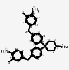 CCCCC1CCC(c2ccc(Cc3ccc(N)c(C)c3)cc2)(c2ccc(Cc3ccc(N)c(C)c3)cc2)CC1